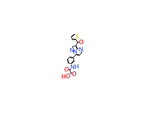 O=C(O)C(=O)Nc1cccc(-c2ccnc3c(C(=O)c4cccs4)cnn23)c1